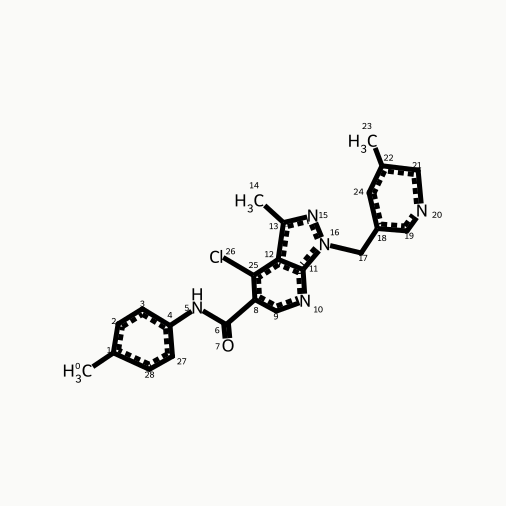 Cc1ccc(NC(=O)c2cnc3c(c(C)nn3Cc3cncc(C)c3)c2Cl)cc1